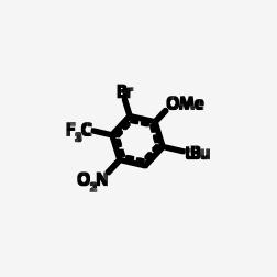 COc1c(C(C)(C)C)cc([N+](=O)[O-])c(C(F)(F)F)c1Br